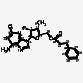 C[C@H]1[C@H](F)[C@H](n2cnc3c(N)nc(Cl)nc32)O[C@@H]1COC(=O)CCc1ccccc1